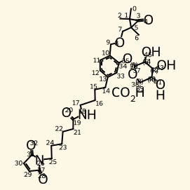 CC1(C)C(=O)C1(C)COCc1ccc(CCCCNC(=O)CCCCCN2C(=O)C=CC2=O)cc1O[C@H]1O[C@@H](C(=O)O)[C@H](O)[C@@H](O)[C@@H]1O